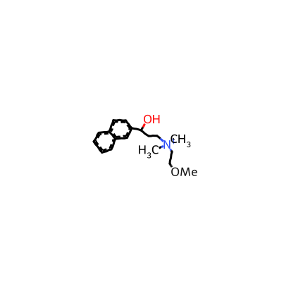 COCC[N+](C)(C)CCC(O)c1ccc2ccccc2c1